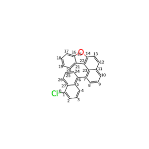 Clc1cccc2c(-c3cccc4ccc5oc6ccccc6c5c34)cccc12